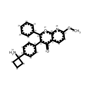 COc1ccc2c(=O)c(-c3ccc(C4(N)CCC4)cc3)c(-c3ccccc3)oc2n1